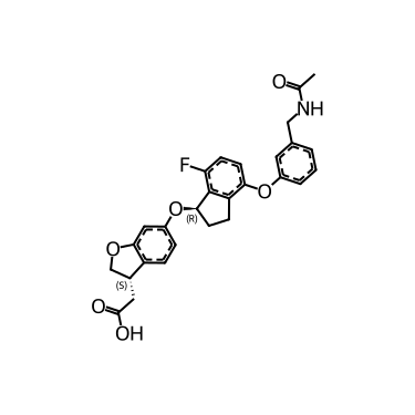 CC(=O)NCc1cccc(Oc2ccc(F)c3c2CC[C@H]3Oc2ccc3c(c2)OC[C@H]3CC(=O)O)c1